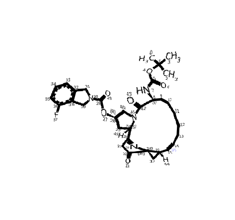 CC(C)(C)OC(=O)N[C@H]1CCCCC/C=C\[C@@H]2C[C@@]23N=C(CC3=O)[C@@H]2C[C@@H](OC(=O)N3Cc4cccc(F)c4C3)CN2C1=O